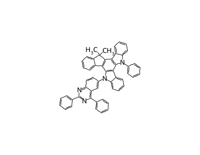 CC1(C)c2ccccc2-c2c1c1c3ccccc3n(-c3ccccc3)c1c1c3ccccc3n(-c3ccc4nc(-c5ccccc5)nc(-c5ccccc5)c4c3)c21